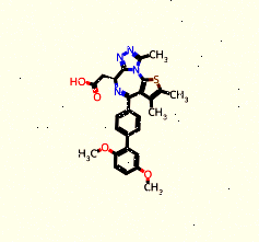 COc1ccc(OC)c(-c2ccc(C3=N[C@@H](CC(=O)O)c4nnc(C)n4-c4sc(C)c(C)c43)cc2)c1